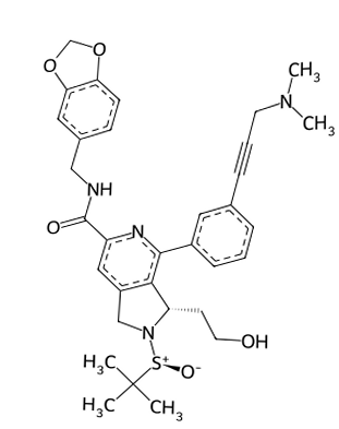 CN(C)CC#Cc1cccc(-c2nc(C(=O)NCc3ccc4c(c3)OCO4)cc3c2[C@H](CCO)N([S@@+]([O-])C(C)(C)C)C3)c1